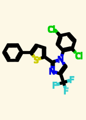 FC(F)(F)c1cn(-c2cc(Cl)ccc2Cl)c(-c2ccc(-c3ccccc3)s2)n1